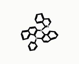 c1ccc(N2c3ccc4ccccc4c3N(c3nccc4ccccc34)c3ccc4ccccc4c32)cc1